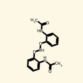 CC(=O)Nc1ccccc1OBOc1ccccc1NC(C)=O